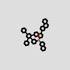 c1ccc(-c2cc(-c3ccccc3)c(-c3cccc(N(c4ccc(-c5ccc6c(ccc7ccccc76)c5)cc4)c4ccc5ccccc5c4)c3)c(-c3ccccc3)c2)cc1